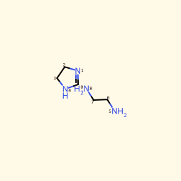 C1=NCCN1.NCCN